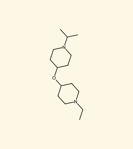 CCN1CCC(OC2CCN(C(C)C)CC2)CC1